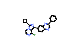 Clc1nccn2c(C3CCC3)nc(-c3ccc4ncc(-c5ccccc5)nc4c3)c12